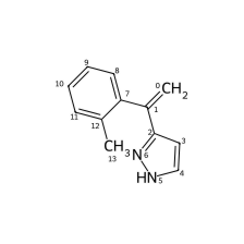 C=C(c1cc[nH]n1)c1ccccc1C